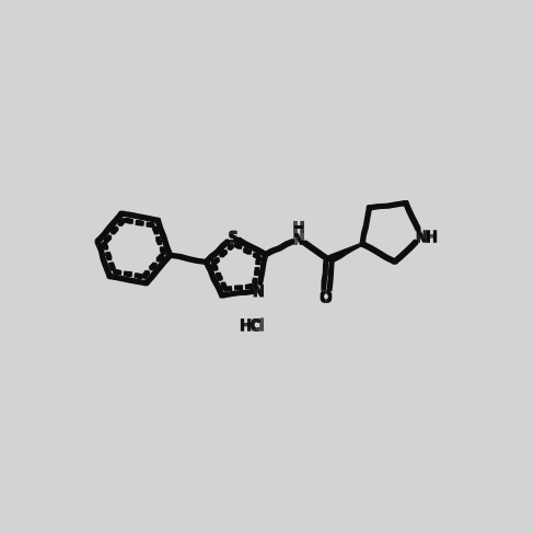 Cl.O=C(Nc1ncc(-c2ccccc2)s1)[C@H]1CCNC1